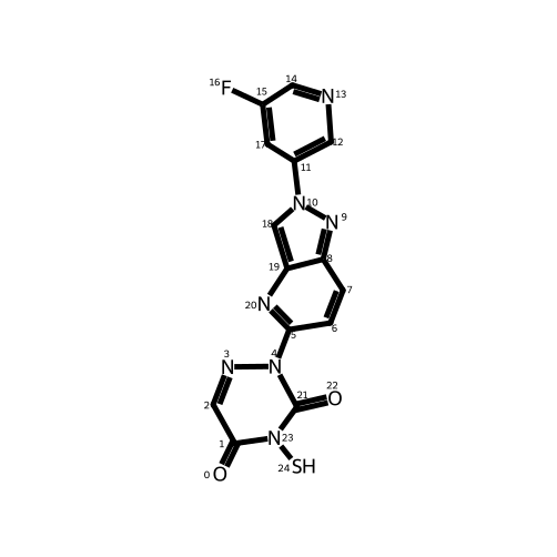 O=c1cnn(-c2ccc3nn(-c4cncc(F)c4)cc3n2)c(=O)n1S